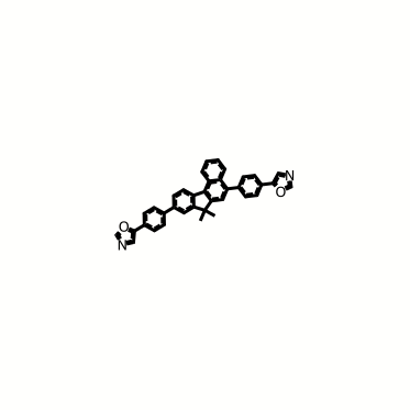 CC1(C)c2cc(-c3ccc(-c4cnco4)cc3)ccc2-c2c1cc(-c1ccc(-c3cnco3)cc1)c1ccccc21